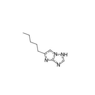 CCCCCc1cn2[nH]cnc2n1